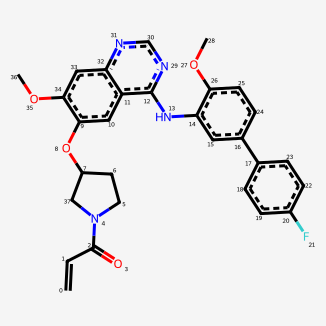 C=CC(=O)N1CCC(Oc2cc3c(Nc4cc(-c5ccc(F)cc5)ccc4OC)ncnc3cc2OC)C1